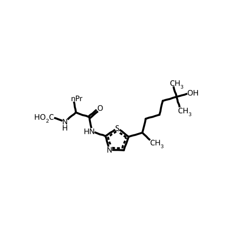 CCCC(NC(=O)O)C(=O)Nc1ncc(C(C)CCCC(C)(C)O)s1